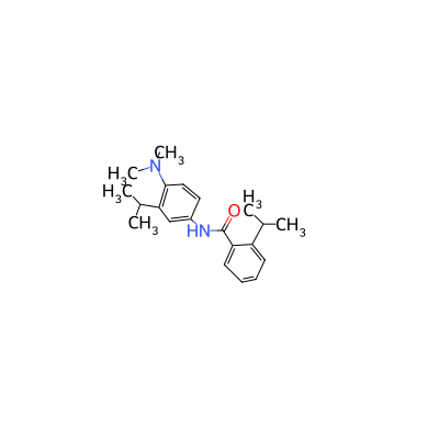 CC(C)c1ccccc1C(=O)Nc1ccc(N(C)C)c(C(C)C)c1